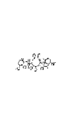 COc1ccnc(CN[C@H]2CC(=O)C(=O)[C@H](Cc3ccc(N(C)C)cc3)[C@H](OC(=O)C(C)C)[C@H](C)C(=O)C2=O)c1O